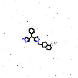 CC(=O)Oc1cccc2c1CCC(Cn1cc(C(c3ccccc3)c3cn[nH]c3)cn1)C2